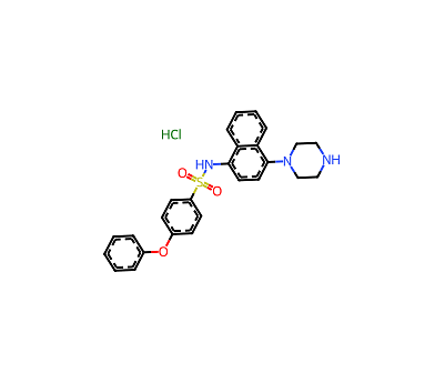 Cl.O=S(=O)(Nc1ccc(N2CCNCC2)c2ccccc12)c1ccc(Oc2ccccc2)cc1